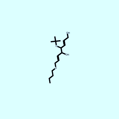 CCCCOCC=CC(O)C(C=CCO)OC(C)(C)C